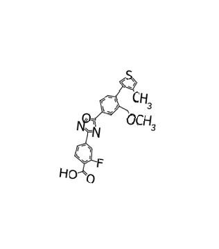 COCc1cc(-c2nc(-c3ccc(C(=O)O)c(F)c3)no2)ccc1-c1cscc1C